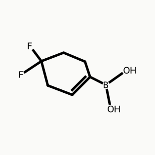 OB(O)C1=CCC(F)(F)CC1